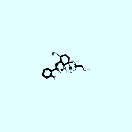 C#C[C@]1(NC(=O)CO)CC[C@H](C(C)C)c2cc(-c3ccccc3F)nnc21